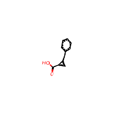 O=C(O)C1=CC1c1ccccc1